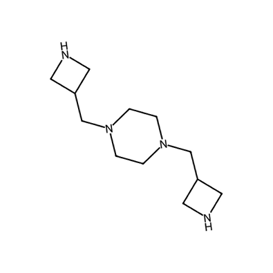 C1NCC1CN1CCN(CC2CNC2)CC1